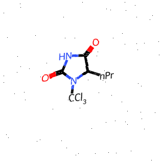 CCCC1C(=O)NC(=O)N1C(Cl)(Cl)Cl